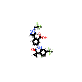 O=C(O)c1cc(NC(=O)C2(c3ccc(C(F)(F)F)cc3F)CC2)ccc1-c1cnn(CC(F)(F)F)c1